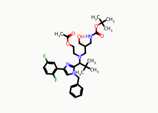 CC(=O)OCCN(CC(CO)CNC(=O)OC(C)(C)C)C(c1nc(-c2cc(F)ccc2F)cn1Cc1ccccc1)C(C)(C)C